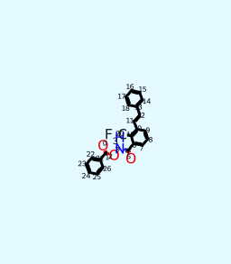 O=C(ONC(=O)c1cccc(C=Cc2ccccc2)c1C(F)(F)F)c1ccccc1